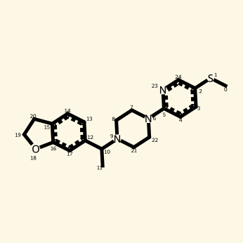 CSc1ccc(N2CCN(C(C)c3ccc4c(c3)OCC4)CC2)nc1